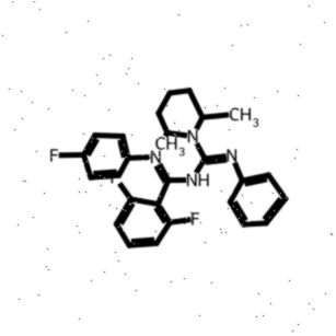 CC1CCCC(C)N1/C(=N/c1ccccc1)N/C(=N/c1ccc(F)cc1)c1c(F)cccc1F